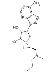 CCCN(C)C[C@H]1C[C@]12OC(n1cnc3c(N)ncnc31)C(O)C2O